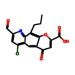 CCCc1c2nc(C=O)cc(Cl)c2cc2c(=O)cc(C(=O)O)oc12